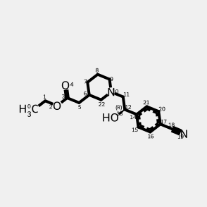 CCOC(=O)CC1CCCN(C[C@H](O)c2ccc(C#N)cc2)C1